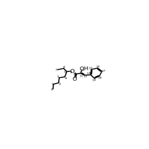 CCCCCC(CC)OC(=O)C(O)=Cc1ccccc1